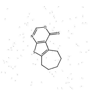 S=c1ocnc2sc3c(c12)CCCCC3